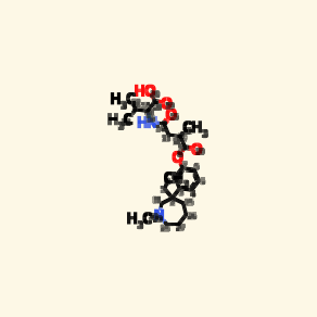 CCC1(c2cccc(OC(=O)[C@H](C)CC(=O)N[C@H](C(=O)O)C(C)C)c2)CCCCN(C)C1